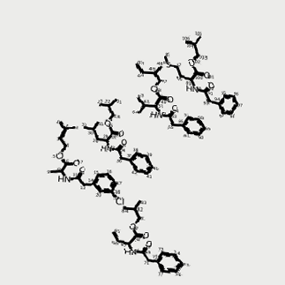 CC(C)=CCOC(=O)C(C)NC(=O)Cc1cccc(Cl)c1.CC(C)COC(=O)C(CC(C)C)NC(=O)Cc1ccccc1.CCC(C)COC(=O)C(NC(=O)Cc1ccccc1)C(C)C.CCC(NC(=O)Cc1ccccc1)C(=O)OCC(C)C.CSCCC(NC(=O)Cc1ccccc1)C(=O)OCC(C)C